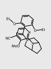 CCOc1cccc(OCC)c1C(=O)N1CC2CCC(C1)N2c1nccc(C#N)c1OC